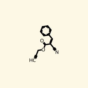 C#CCOC(=O)C(C#N)=Cc1ccccc1